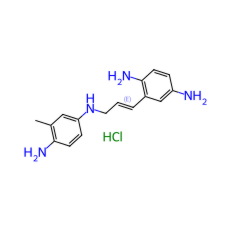 Cc1cc(NC/C=C/c2cc(N)ccc2N)ccc1N.Cl